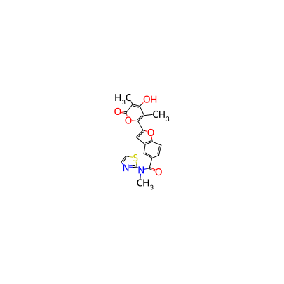 Cc1c(-c2cc3cc(C(=O)N(C)c4nccs4)ccc3o2)oc(=O)c(C)c1O